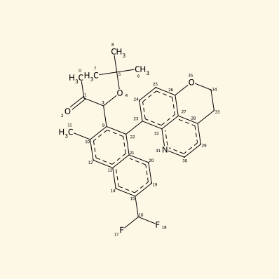 CC(=O)C(OC(C)(C)C)c1c(C)cc2cc(C(F)F)ccc2c1-c1ccc2c3c(ccnc13)CCO2